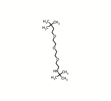 CC(C)(C)CCOCCOCCOCCNC(C)(C)C